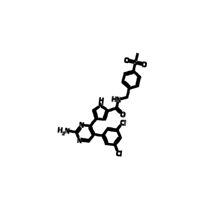 CS(=O)(=O)c1ccc(CNC(=O)c2cc(-c3nc(N)ncc3-c3cc(Cl)cc(Cl)c3)c[nH]2)cc1